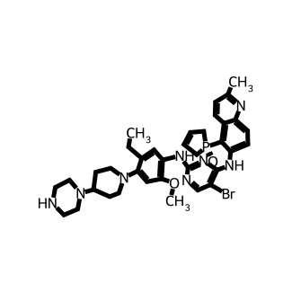 CCc1cc(Nc2ncc(Br)c(Nc3ccc4nc(C)ccc4c3P3(=O)CC=CC3)n2)c(OC)cc1N1CCC(N2CCNCC2)CC1